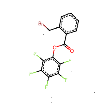 O=C(Oc1c(F)c(F)c(F)c(F)c1F)c1ccccc1CBr